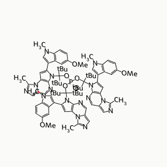 COc1ccc2c(c1)c(-c1cc3c(ncc4cnc(C)n43)n1C(OP(=O)(OC(n1c(-c3cn(C)c4ccc(OC)cc34)cc3c1ncc1cnc(C)n13)(C(C)(C)C)C(C)(C)C)OC(n1c(-c3cn(C)c4ccc(OC)cc34)cc3c1ncc1cnc(C)n13)(C(C)(C)C)C(C)(C)C)(C(C)(C)C)C(C)(C)C)cn2C